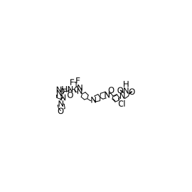 O=C1CCN(c2cc(C(=O)N3CCC4(CCN(CC5CCC(n6cc(NC(=O)c7cnn8ccc(N9CCOCC9)nc78)c(C(F)F)n6)CC5)CC4)CC3)ccc2Cl)C(=O)N1